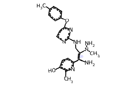 Cc1ccc(Oc2ccnc(NC/C(=C(/N)c3ccc(O)c(C)n3)N(C)N)n2)cc1